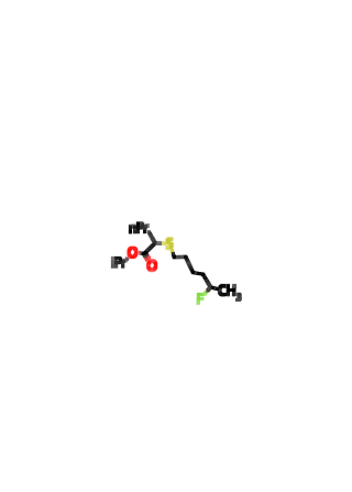 CCCC(SCCCCC(C)F)C(=O)OC(C)C